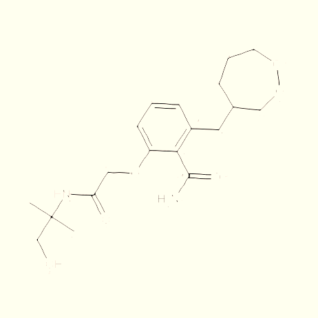 CC(C)(CO)NC(=O)COc1cccc(CC2CCCOOC2)c1C(N)=O